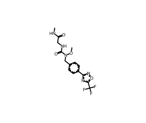 CNC(=O)CNC(=O)N(Cc1ccc(-c2noc(C(F)(F)F)n2)cc1)OC